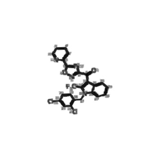 O=C(c1noc(-c2ccccn2)n1)c1c(C(F)(F)F)n(Cc2ccc(Cl)cc2Cl)c2ccccc12